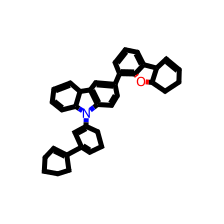 C1=CC2c3cc(-c4cccc5c4OC4CCC=CC54)ccc3N(C3=CC(C4=CCCCC4)=CCC3)C2C=C1